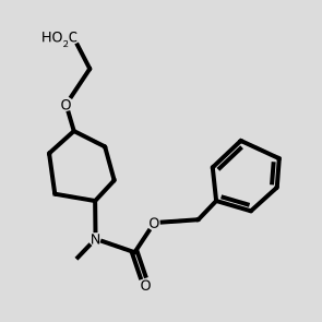 CN(C(=O)OCc1ccccc1)C1CCC(OCC(=O)O)CC1